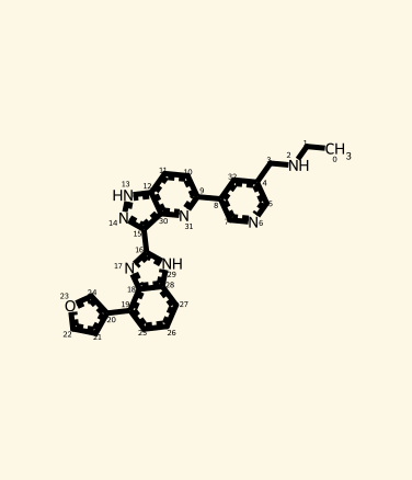 CCNCc1cncc(-c2ccc3[nH]nc(-c4nc5c(-c6ccoc6)cccc5[nH]4)c3n2)c1